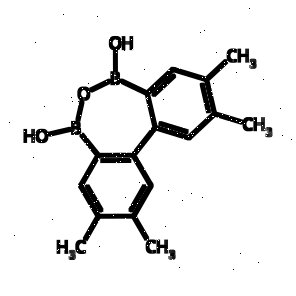 Cc1cc2c(cc1C)-c1cc(C)c(C)cc1B(O)OB2O